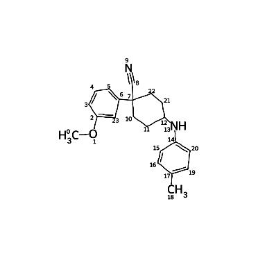 COc1cccc(C2(C#N)CCC(Nc3ccc(C)cc3)CC2)c1